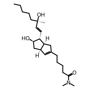 CCCCC[C@@](C)(O)/C=C/[C@@H]1[C@H]2CC(CCCCC(=O)N(C)C)=C[C@H]2C[C@H]1O